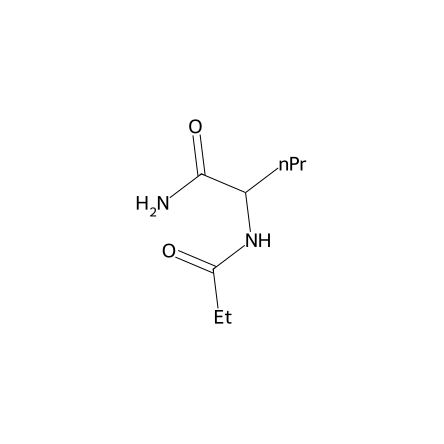 CCCC(NC(=O)CC)C(N)=O